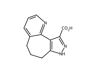 O=C(O)c1n[nH]c2c1-c1ncccc1CCC2